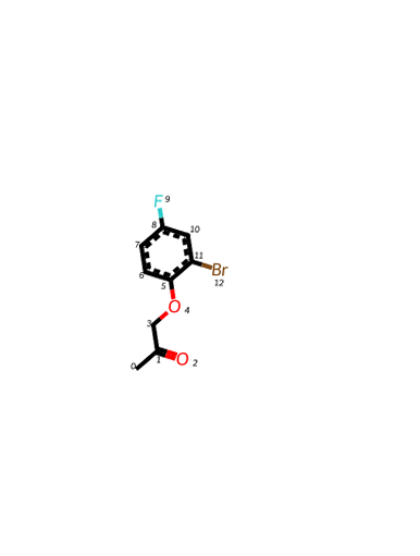 CC(=O)COc1ccc(F)cc1Br